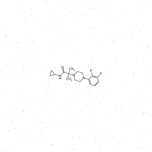 CC(C)(C(=O)NC1CC1)N1CCN(c2cccc(F)c2F)CC1